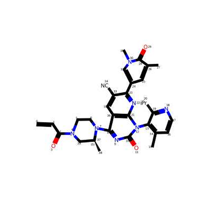 C=CC(=O)N1CCN(c2nc(=O)n(-c3c(C)ccnc3C(C)C)c3nc(-c4cc(C)c(=O)n(C)c4)c(C#N)cc23)[C@@H](C)C1